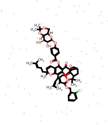 CC(C)=CCCC1(C)C=Cc2c(c(CC=C(C)C)c3c(c2OC(=O)c2ccc(O[C@@H]4O[C@@H]5COC(C)(C)O[C@H]5[C@H](O)[C@H]4O)cc2)C(=O)C2=CC4CC5C(C)(C)OC(C/C=C(/C)C(=O)OCc6ccccc6Cl)(C4=O)C25O3)O1